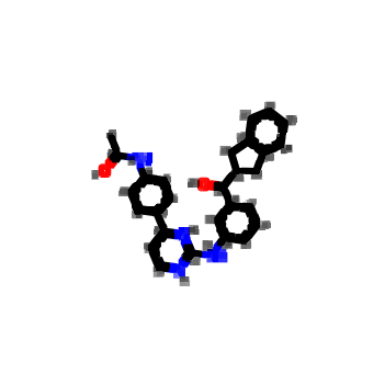 CC(=O)Nc1ccc(-c2ccnc(Nc3cccc(C(=O)C4Cc5ccccc5C4)c3)n2)cc1